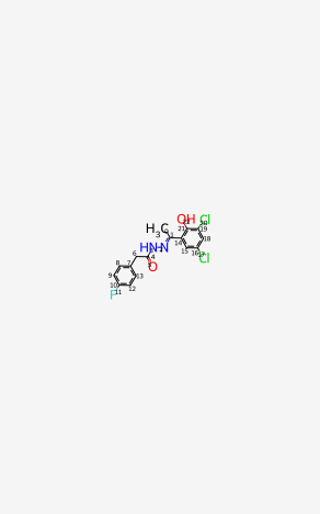 C/C(=N\NC(=O)Cc1ccc(F)cc1)c1cc(Cl)cc(Cl)c1O